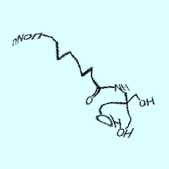 CCCCCCCCCCCCCCC(=O)NC(CO)(CO)CO